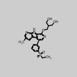 CCS(=O)(=O)c1cccc(-c2cnc(OCC(CO)CO)c3[nH]c4ncc(C)cc4c23)c1